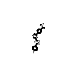 C=C(c1ccc(-c2cncc(-c3nnc(-c4ccc(F)cc4)o3)n2)cc1)N(C)C